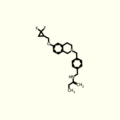 C=C(CC)NCc1ccc(CN2CCc3cc(OCC4CC4(F)F)ccc3C2)cc1